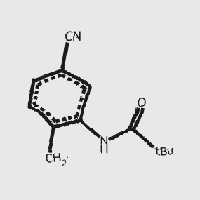 [CH2]c1ccc(C#N)cc1NC(=O)C(C)(C)C